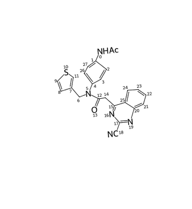 CC(=O)Nc1ccc(N(Cc2ccsc2)C(=O)Cc2nc(C#N)nc3ccccc23)cc1